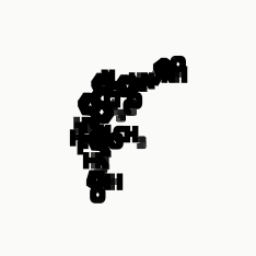 COc1cc(-c2nccc(-c3cccc4c3CCC[C@H]4Nc3nc(OC)c(CNC[C@H]4CCC(=O)N4)cc3C(F)(F)F)c2Cl)ccc1CNC[C@H]1CCC(=O)N1